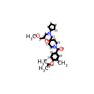 COCC1CN(C2CCCC2)CC2(CCN(C(=O)c3ccc(OC(C)C)c(C)c3)CC2)O1